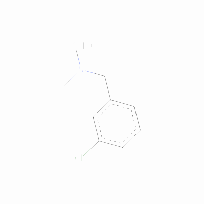 C[C@H](c1cccc(Cl)c1)N(C)C=O